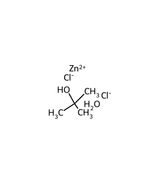 CC(C)(C)O.O.[Cl-].[Cl-].[Zn+2]